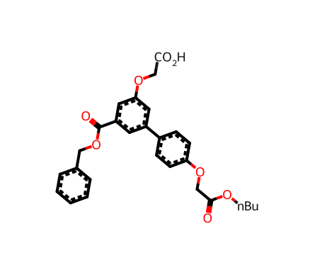 CCCCOC(=O)COc1ccc(-c2cc(OCC(=O)O)cc(C(=O)OCc3ccccc3)c2)cc1